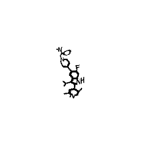 Cc1cc(-c2[nH]c3cc(F)c(C4CCN(CC(=O)N(C)C)CC4)cc3c2C(C)C)c(C)cn1